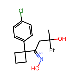 CCC(C)(O)C/C(=N/O)C1(c2ccc(Cl)cc2)CCC1